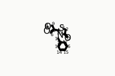 O=C1CSC(C2=COOC2)N1Cc1ccccc1